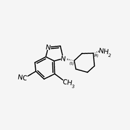 Cc1cc(C#N)cc2ncn([C@H]3CCC[C@@H](N)C3)c12